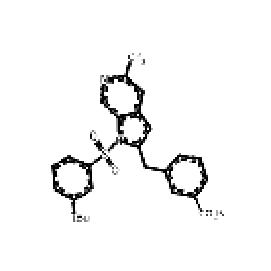 CC(C)(C)c1cccc(S(=O)(=O)n2c(Cc3cccc(C(=O)O)c3)cc3cc(C(F)(F)F)ncc32)c1